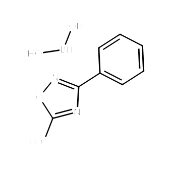 Cc1nc(-c2ccccc2)no1.OBO